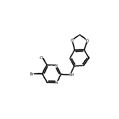 Clc1nc(Nc2ccc3c(c2)OCO3)ncc1Br